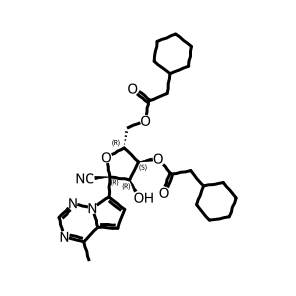 Cc1ncnn2c([C@]3(C#N)O[C@H](COC(=O)CC4CCCCC4)[C@@H](OC(=O)CC4CCCCC4)[C@H]3O)ccc12